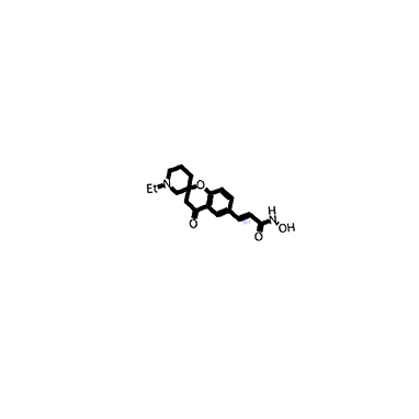 CCN1CCCC2(CC(=O)c3cc(/C=C/C(=O)NO)ccc3O2)C1